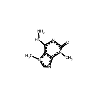 Cn1cnc2c1c(NN)nc(=O)n2C